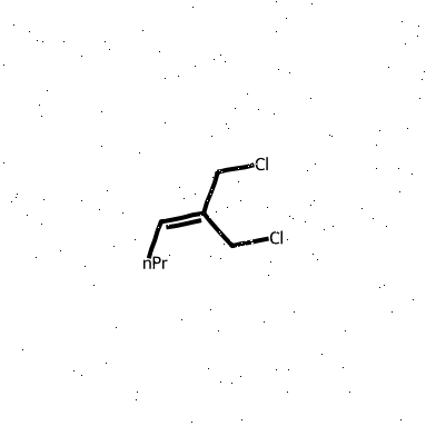 CCCC=C(CCl)CCl